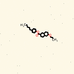 CCCCCc1ccc(OC(=O)C2CCC3CC(OCCC)CCC3C2)cc1